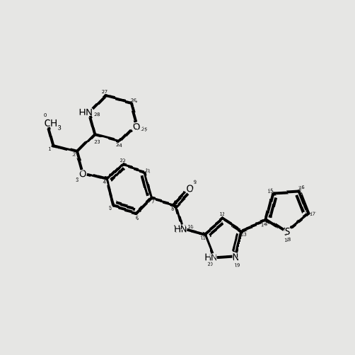 CCC(Oc1ccc(C(=O)Nc2cc(-c3cccs3)n[nH]2)cc1)C1COCCN1